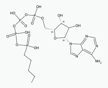 CCCCCP(=O)(O)OP(=O)(O)OP(=O)(O)OP(=O)(O)OC[C@H]1O[C@@H](n2cnc3c(N)ncnc32)C(O)[C@H]1O